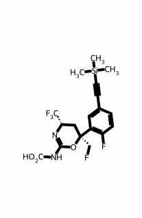 C[Si](C)(C)C#Cc1ccc(F)c([C@]2(CF)C[C@@H](C(F)(F)F)N=C(NC(=O)O)O2)c1